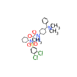 CN(C)C(c1ccccc1)C1CCC(NC(=O)COC2CCCCC2N(C)S(=O)(=O)c2ccc(Cl)c(Cl)c2)CC1